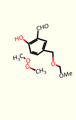 COCOCc1ccc(O)c(C=O)c1.COOC